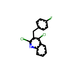 Fc1ccc(Cc2c(Cl)nc3ccccc3c2Cl)cc1